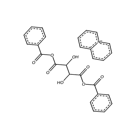 O=C(OC(=O)C(O)C(O)C(=O)OC(=O)c1ccccc1)c1ccccc1.c1cc[n+]2ccccc2c1